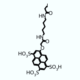 O=C(CI)NCCCCCNC(=O)COc1cc(S(=O)(=O)O)c2ccc3c(S(=O)(=O)O)cc(S(=O)(=O)O)c4ccc1c2c43